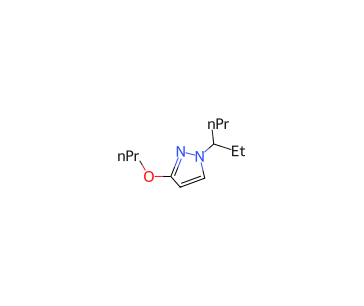 CCCOc1ccn(C(CC)CCC)n1